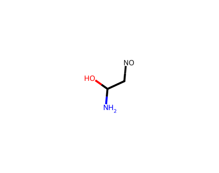 NC(O)CN=O